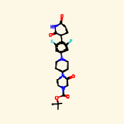 CC(C)(C)OC(=O)N1CCN(C2CCN(c3cc(F)c(C4CCC(=O)NC4=O)c(F)c3)CC2)C(=O)C1